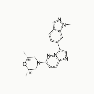 C[C@@H]1CN(c2ccc3ncc(-c4ccc5cnn(C)c5c4)n3n2)C[C@H](C)O1